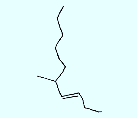 CCC=CC(C)CCCCC